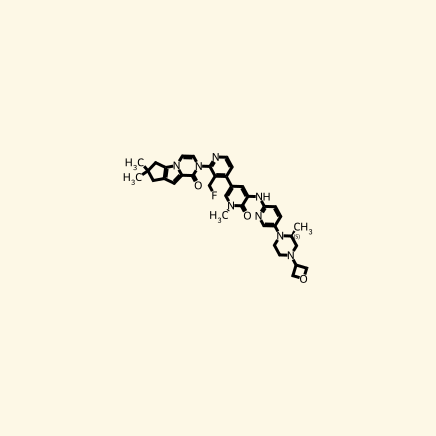 C[C@H]1CN(C2COC2)CCN1c1ccc(Nc2cc(-c3ccnc(-n4ccn5c6c(cc5c4=O)CC(C)(C)C6)c3CF)cn(C)c2=O)nc1